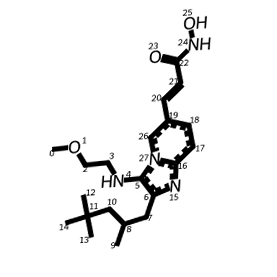 COCCNc1c(CC(C)CC(C)(C)C)nc2ccc(C=CC(=O)NO)cn12